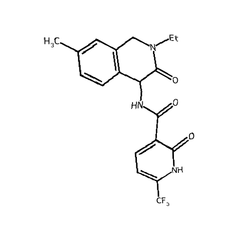 CCN1Cc2cc(C)ccc2C(NC(=O)c2ccc(C(F)(F)F)[nH]c2=O)C1=O